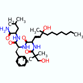 CCCCCCCC(C)(O)/C=C/C(NC(=O)C(C)(C)CO)C(=O)N[C@@H](Cc1ccccc1)C(=O)NC(CC(C)C)C(N)=O